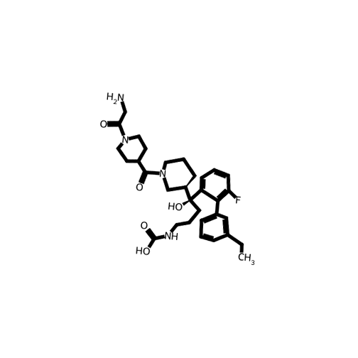 CCc1cccc(-c2c(F)cccc2[C@](O)(CCCNC(=O)O)[C@@H]2CCCN(C(=O)C3CCN(C(=O)CN)CC3)C2)c1